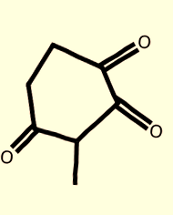 CC1C(=O)CCC(=O)C1=O